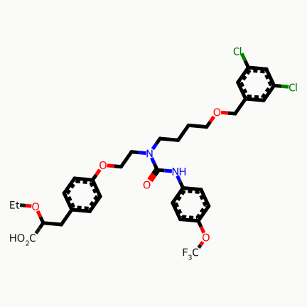 CCOC(Cc1ccc(OCCN(CCCCOCc2cc(Cl)cc(Cl)c2)C(=O)Nc2ccc(OC(F)(F)F)cc2)cc1)C(=O)O